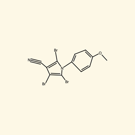 COc1ccc(-n2c(Br)c(Br)c(C#N)c2Br)cc1